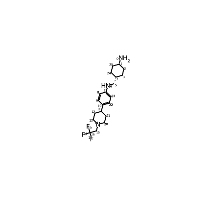 N[C@H]1CC[C@H](CNc2ccc(C3CCN(CC(F)(F)F)CC3)cc2)CC1